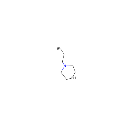 CC(C)CCN1CCBCC1